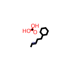 C/C=C/CCC1CCCCC1.O=C(O)O